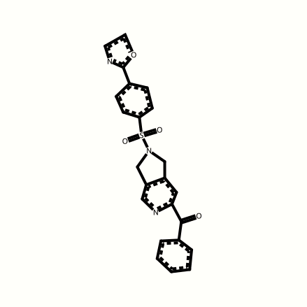 O=C(c1ccccc1)c1cc2c(cn1)CN(S(=O)(=O)c1ccc(-c3ncco3)cc1)C2